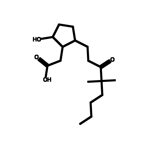 CCCCC(C)(C)C(=O)CCC1CCC(O)C1CC(=O)O